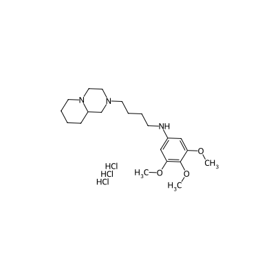 COc1cc(NCCCCN2CCN3CCCCC3C2)cc(OC)c1OC.Cl.Cl.Cl